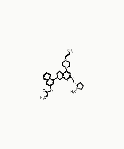 C=CC(=O)Oc1cc(C2CCc3c(nc(OC[C@@H]4CCCN4C)nc3N3CCN(C=CC)CC3)C2)c2ccccc2c1